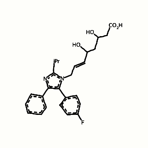 CC(C)c1nc(-c2ccccc2)c(-c2ccc(F)cc2)n1C/C=C/C(O)CC(O)CC(=O)O